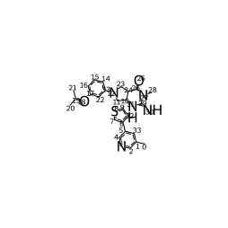 Cc1cncc(-c2csc([C@]34CN(c5cccc(OC(C)C)c5)CC3C(=O)N(C)C(=N)N4)c2)c1